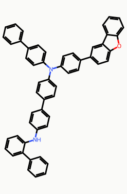 c1ccc(-c2ccc(N(c3ccc(-c4ccc(Nc5ccccc5-c5ccccc5)cc4)cc3)c3ccc(-c4ccc5oc6ccccc6c5c4)cc3)cc2)cc1